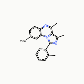 COc1ccc2nc(C)c3c(C)nc(-c4ccccc4C)n3c2c1